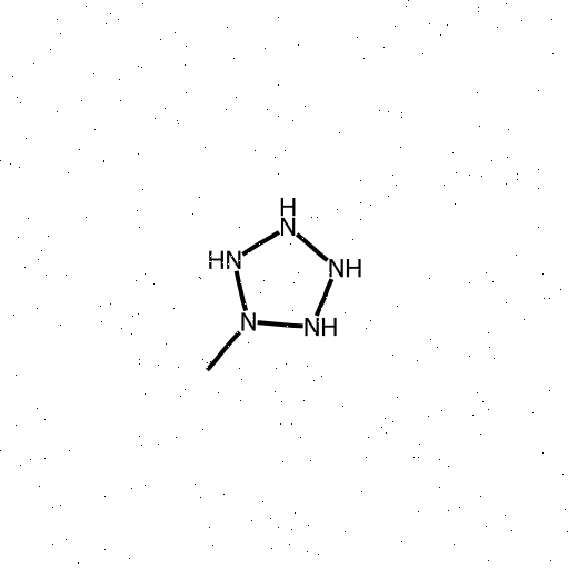 Cn1[nH][nH][nH][nH]1